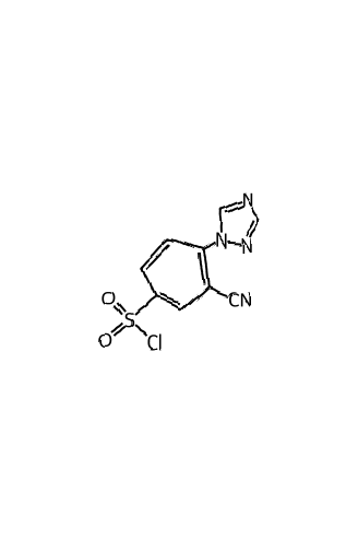 N#Cc1cc(S(=O)(=O)Cl)ccc1-n1cncn1